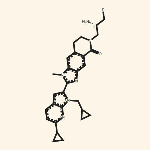 Cn1c(-c2cc3ccc(C4CC4)nc3n2CC2CC2)nc2cc3c(cc21)CCN(C[C@H](N)CF)C3=O